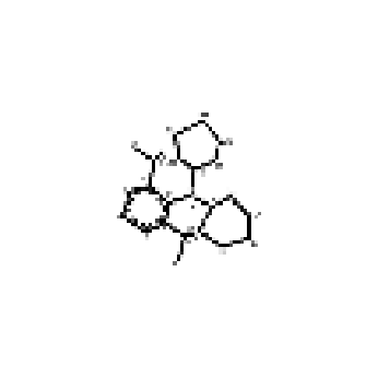 CC(C)c1cccc(C(C)C)c1P(C1CCCCC1)C1CCCCC1